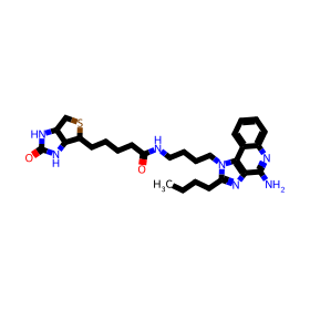 CCCCc1nc2c(N)nc3ccccc3c2n1CCCCNC(=O)CCCCC1SCC2NC(=O)NC21